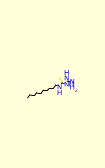 CCCCCCCCCCNC(=S)NC(=N)N